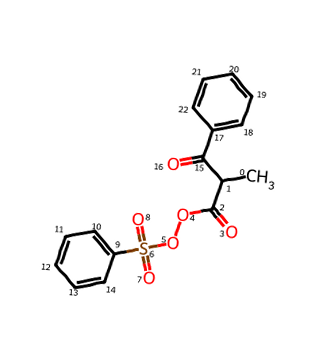 CC(C(=O)OOS(=O)(=O)c1ccccc1)C(=O)c1ccccc1